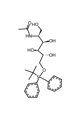 CC(=O)N[C@@H](CO)[C@@H](O)[C@H](O)[C@H](O)CO[Si](c1ccccc1)(c1ccccc1)C(C)(C)C